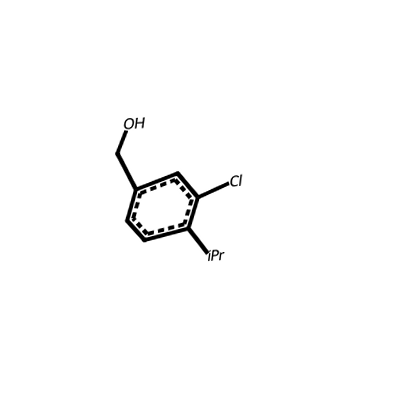 CC(C)c1ccc(CO)cc1Cl